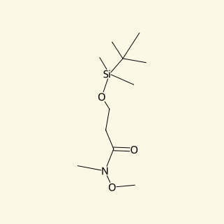 CON(C)C(=O)CCO[Si](C)(C)C(C)(C)C